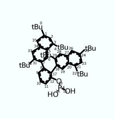 CC(C)(C)c1cc(C(C)(C)C)c2cc(-c3cccc(OP(O)O)c3-c3cc4c(C(C)(C)C)cc(C(C)(C)C)cc4cc3C(C)(C)C)c(C(C)(C)C)cc2c1